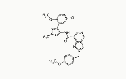 COc1ccc(Cn2cc3cncc(C(=O)Nc4cn(C)nc4-c4cc(Cl)ccc4OC)c3n2)cc1